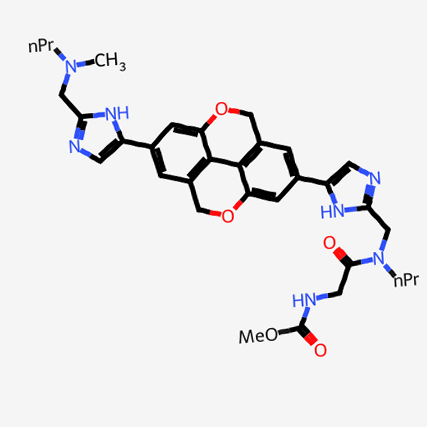 CCCN(C)Cc1ncc(-c2cc3c4c(c2)OCc2cc(-c5cnc(CN(CCC)C(=O)CNC(=O)OC)[nH]5)cc(c2-4)OC3)[nH]1